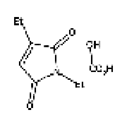 CCC1=CC(=O)N(CC)C1=O.O=C(O)O